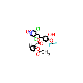 CC(=O)OC(Cc1c(Cl)c[n+]([O-])cc1Cl)c1ccc(OC(F)F)c(O)c1.CC(=O)Oc1ccccc1